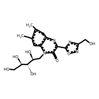 Cc1cc2nc(-c3nc(CO)no3)c(=O)n(C[C@H](O)[C@H](O)[C@H](O)CO)c2cc1C